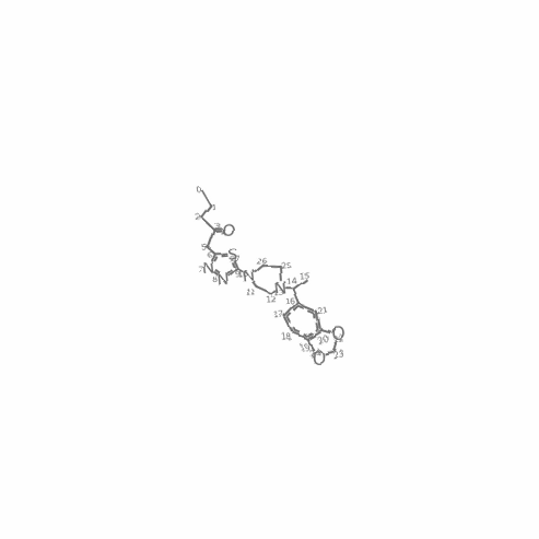 CCCC(=O)Cc1nnc(N2CCN(C(C)c3ccc4c(c3)OCO4)CC2)s1